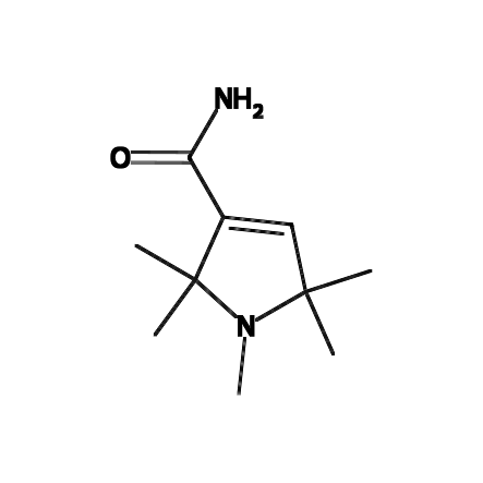 CN1C(C)(C)C=C(C(N)=O)C1(C)C